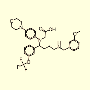 COc1cccc(CNC[CH]CC(c2cccc(OC(F)(F)F)c2)N(CC(=O)O)c2ccc(N3CCOCC3)cc2)c1